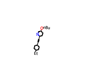 CCCCOc1ccc(C#Cc2ccc(CC)cc2)nc1